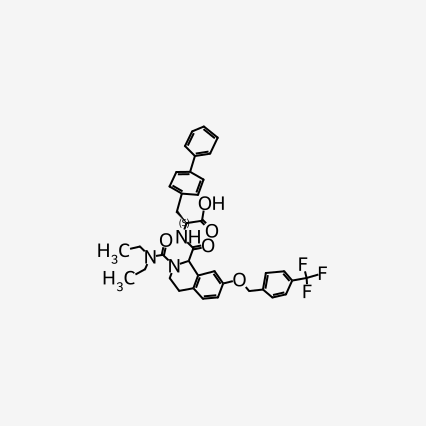 CCN(CC)C(=O)N1CCc2ccc(OCc3ccc(C(F)(F)F)cc3)cc2C1C(=O)N[C@@H](Cc1ccc(-c2ccccc2)cc1)C(=O)O